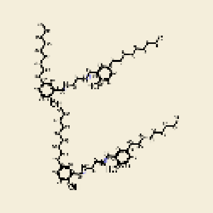 CCCCCCCCCc1ccc(O)c(/C=N/CC/N=C/c2cc(CCCCCCCCC)ccc2O)c1.CCCCCCCCCc1ccc(O)c(/C=N/CC/N=C/c2cc(CCCCCCCCC)ccc2O)c1